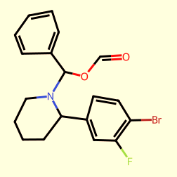 O=COC(c1ccccc1)N1CCCCC1c1ccc(Br)c(F)c1